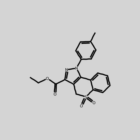 CCOC(=O)c1nn(-c2ccc(C)cc2)c2c1CS(=O)(=O)c1ccccc1-2